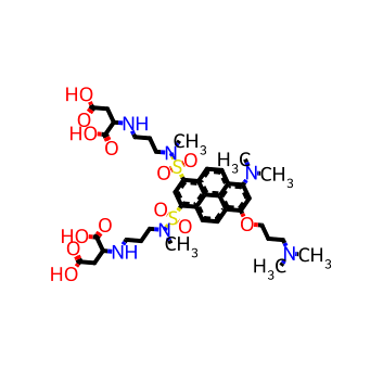 CN(C)CCCOc1cc(N(C)C)c2ccc3c(S(=O)(=O)N(C)CCCNC(CC(=O)O)C(=O)O)cc(S(=O)(=O)N(C)CCCNC(CC(=O)O)C(=O)O)c4ccc1c2c43